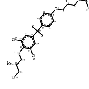 CC(I)OC[C@@H](O)COc1ccc(C(C)(C)c2cc(Cl)c(OC[C@@H](O)CCl)c(Cl)c2)cc1